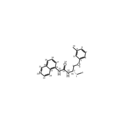 CC[C@@H](COc1cccc(C)c1)NC(=O)Nc1cccc2cnccc12